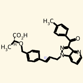 Cc1ccc(C(=O)c2nn(C/C=C/c3ccc(CO[C@H](C)C(=O)O)cc3)c3cccnc23)cc1